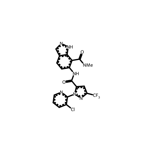 CNC(=O)c1c(NC(=O)c2cc(C(F)(F)F)nn2-c2ncccc2Cl)ccc2cn[nH]c12